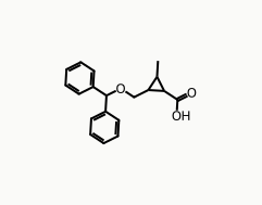 CC1C(COC(c2ccccc2)c2ccccc2)C1C(=O)O